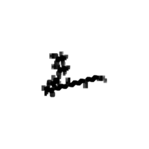 NCCCNCCCCNCCCN(C(=O)C(F)(F)F)C(=O)C(F)(F)F.O=C(O)C(F)(F)F.O=C(O)C(F)(F)F